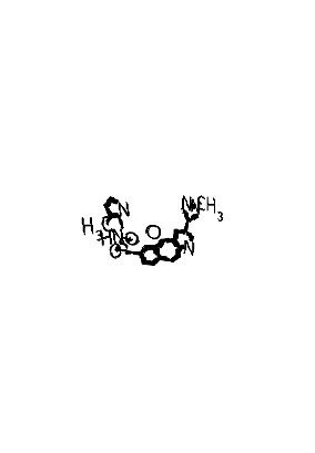 Cc1cccnc1CNS(=O)(=O)Cc1ccc2ccc3ncc(-c4cnn(C)c4)cc3c(=O)c2c1